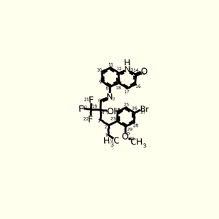 CCC(CC(O)(/C=N/c1cccc2[nH]c(=O)ccc12)C(F)(F)F)c1ccc(Br)cc1OC